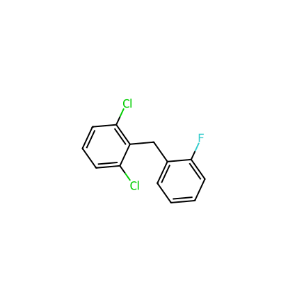 Fc1ccccc1Cc1c(Cl)cccc1Cl